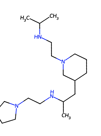 CC(C)NCCN1CCCC(CC(C)NCCN2CCCC2)C1